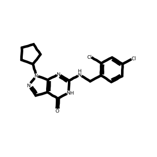 O=c1[nH]c(NCc2ccc(Cl)cc2Cl)nc2c1cnn2C1CCCC1